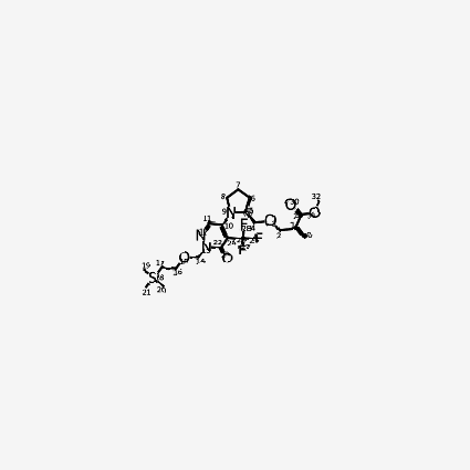 C=C(COC[C@@H]1CCCN1c1cnn(COCC[Si](C)(C)C)c(=O)c1C(F)(F)F)C(=O)OC